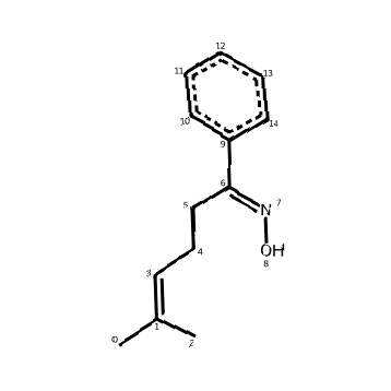 CC(C)=CCCC(=NO)c1ccccc1